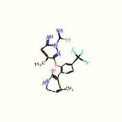 CC1=CCNC(O)=C1c1ccc(C(F)(F)F)cc1Oc1nn(C(=N)Cl)c(=N)cc1C